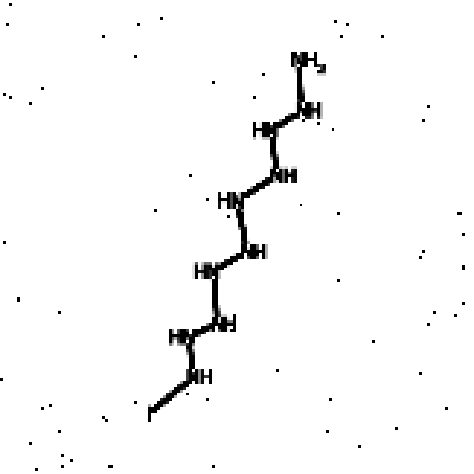 NNNNNNNNNNI